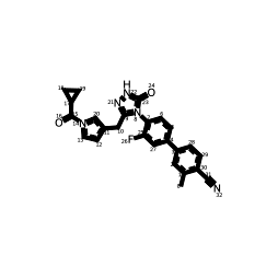 Cc1cc(-c2ccc(-n3c(Cc4ccn(C(=O)C5CC5)c4)n[nH]c3=O)c(F)c2)ccc1C#N